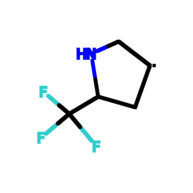 FC(F)(F)C1C[CH]CN1